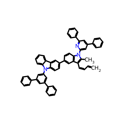 C=C/C=C\c1c(C)n(-c2cc(-c3ccccc3)cc(-c3ccccc3)n2)c2ccc(-c3ccc4c(c3)c3ccccc3n4-c3cc(-c4ccccc4)cc(-c4ccccc4)c3)cc12